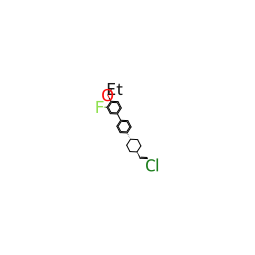 CCOc1ccc(-c2ccc([C@H]3CC[C@H](/C=C/Cl)CC3)cc2)cc1F